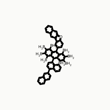 Bc1c(B)c(B)c2c(-c3ccc(-c4ccc5ccccc5c4)c4ccccc34)c3c(B)c(B)c(B)c(B)c3c(-c3ccc4oc5cc6ccccc6cc5c4c3)c2c1B